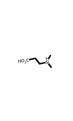 C[SiH](C)CCC(=O)O